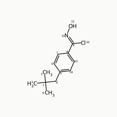 CC(C)(C)[CH]c1ccc(/C(Cl)=N/O)cc1